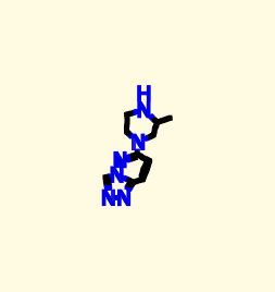 CC1CN(c2ccc3nncn3n2)CCN1